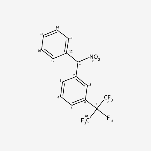 O=[N+]([O-])C(c1[c]ccc(C(F)(C(F)(F)F)C(F)(F)F)c1)c1ccccc1